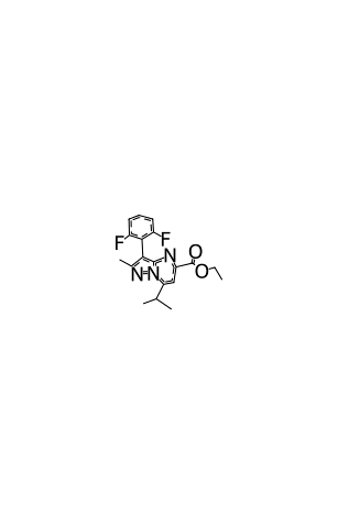 CCOC(=O)c1cc(C(C)C)n2nc(C)c(-c3c(F)cccc3F)c2n1